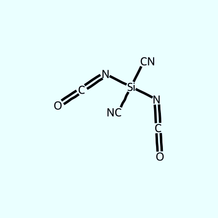 N#C[Si](C#N)(N=C=O)N=C=O